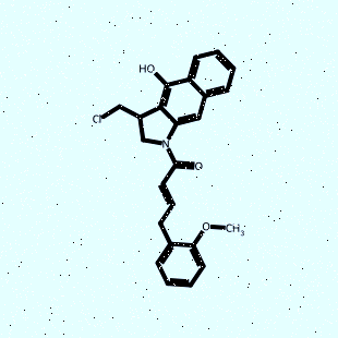 COc1ccccc1CC=CC(=O)N1CC(CCl)c2c1cc1ccccc1c2O